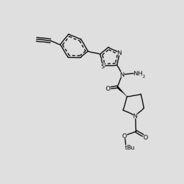 C#Cc1ccc(-c2cnc(N(N)C(=O)[C@H]3CCN(C(=O)OC(C)(C)C)C3)s2)cc1